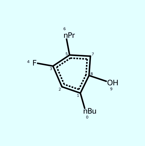 CCCCc1cc(F)c(CCC)cc1O